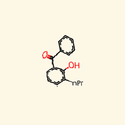 CCCc1[c]ccc(C(=O)c2ccccc2)c1O